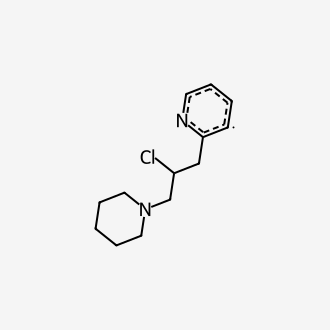 ClC(Cc1[c]cccn1)CN1CCCCC1